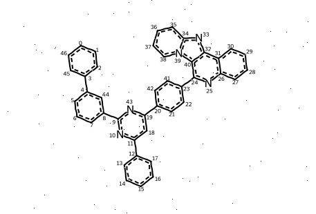 c1ccc(-c2cccc(-c3nc(-c4ccccc4)cc(-c4ccc(-c5nc6ccccc6c6nc7ccccn7c56)cc4)n3)c2)cc1